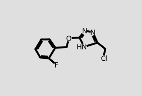 Fc1ccccc1COc1nnc(CCl)[nH]1